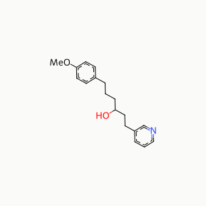 COc1ccc(CCCC(O)CCc2cccnc2)cc1